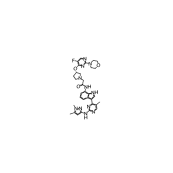 Cc1cnc(Nc2cc(C)n(C)n2)nc1-c1c[nH]c2c(NC(=O)CN3CC[C@H](Oc4nc(N5CCOCC5)ncc4F)C3)cccc12